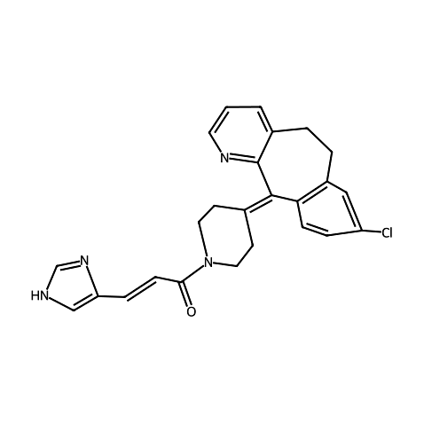 O=C(/C=C/c1c[nH]cn1)N1CCC(=C2c3ccc(Cl)cc3CCc3cccnc32)CC1